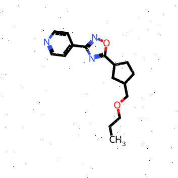 CCCOCC1CCC(c2nc(-c3ccncc3)no2)C1